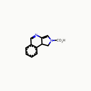 O=C(O)N1C=C2N=Cc3ccccc3C2C1